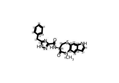 CN1C(=O)[C@@H](NC(=O)c2n[nH]c(Cc3ccccc3)n2)CSc2cc3[nH]ccc3cc21